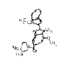 CCn1c(-c2nc3cc(C(=O)N4CC[C@@H](O)[C@@H](N)C4)cc(OC)c3n2C)cc2ccccc21